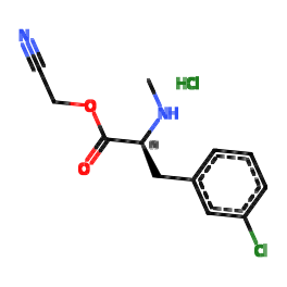 CN[C@@H](Cc1cccc(Cl)c1)C(=O)OCC#N.Cl